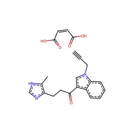 C#CCn1cc(C(=O)CCc2nc[nH]c2C)c2ccccc21.O=C(O)/C=C\C(=O)O